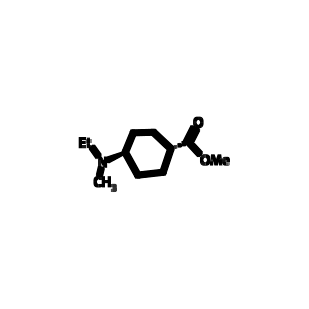 CCN(C)[C@H]1CC[C@H](C(=O)OC)CC1